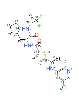 CC[C@@H](Nc1cc(Cl)cnc1C)c1ccc(C(=O)N[C@@H](CC2CCCC2)C(=O)N[C@@H]2CC2(F)F)s1